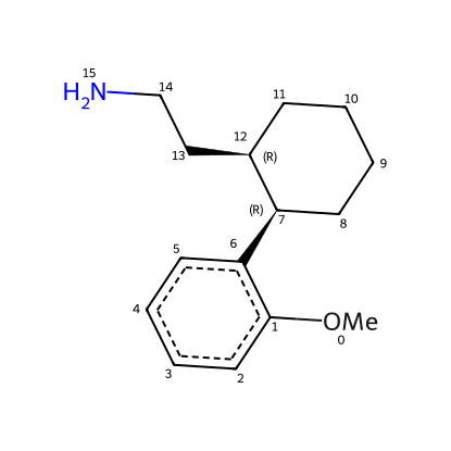 COc1ccccc1[C@@H]1CCCC[C@@H]1CCN